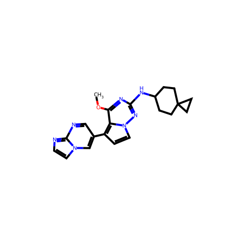 COc1nc(NC2CCC3(CC2)CC3)nn2ccc(-c3cnc4nccn4c3)c12